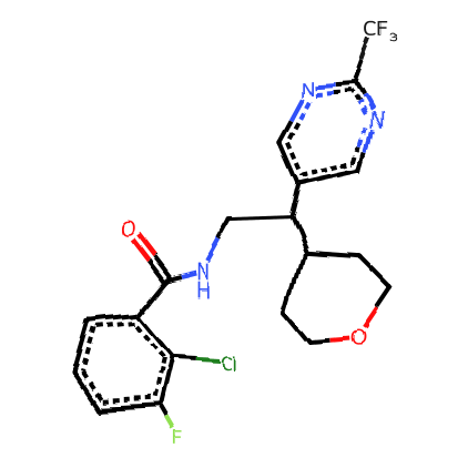 O=C(NCC(c1cnc(C(F)(F)F)nc1)C1CCOCC1)c1cccc(F)c1Cl